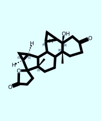 C[C@]12CCC3C(C1[C@@H]1C[C@@H]1C21CCC(=O)O1)[C@H]1CC1[C@]1(O)CC(=O)CC[C@]31C